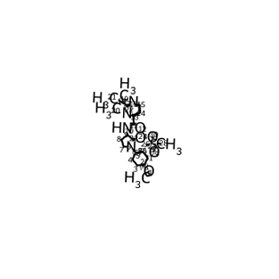 CO[C@@H]1CC[C@H](N2CCC(NC(=O)c3ccnc(C(C)(C)C)n3)C2=O)[C@H](CS(C)(=O)=O)C1